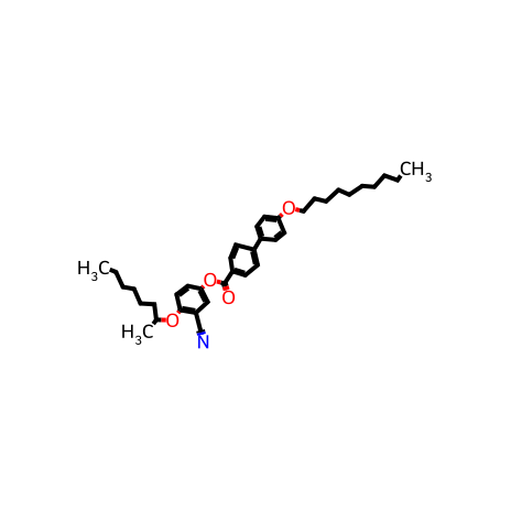 CCCCCCCCCCOc1ccc(-c2ccc(C(=O)Oc3ccc(OC(C)CCCCCC)c(C#N)c3)cc2)cc1